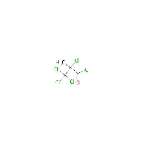 CC(Cl)(C(=O)Cl)C(Cl)(Cl)Cl